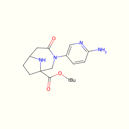 CC(C)(C)OC(=O)C12CCC(CC(=O)N(c3ccc(N)nc3)C1)N2